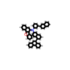 c1cc(-c2ccc3ccccc3c2)cc(N(c2ccc3c(-c4cc5ccccc5c5ccccc45)cccc3c2)c2cc3ccccc3c3oc4ccccc4c23)c1